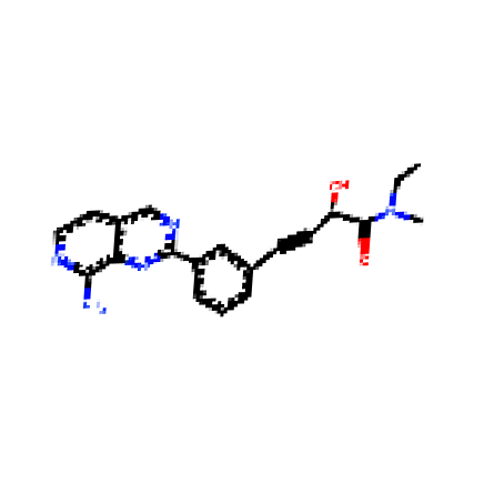 CCN(C)C(=O)[C@H](O)C#Cc1cccc(-c2ncc3ccnc(N)c3n2)c1